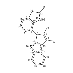 CC1=C(C)C(c2cccc3c2NC(C)C3)c2sc3ccccc3c21